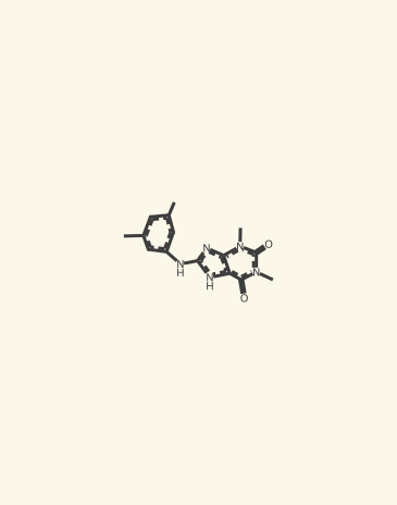 Cc1cc(C)cc(Nc2nc3c([nH]2)c(=O)n(C)c(=O)n3C)c1